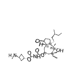 C=C[C@]1(C)C[C@@H](OC(=O)NC(=O)O[C@H]2C[C@H](N)C2)C[C@@H]2C(=O)CC[C@@]2(CCC(C)CC)[C@@H](C)[C@@H]1O